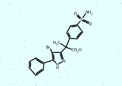 CC(C(=O)O)(c1ccc(S(N)(=O)=O)cc1)c1n[nH]c(-c2ccccc2)c1Br